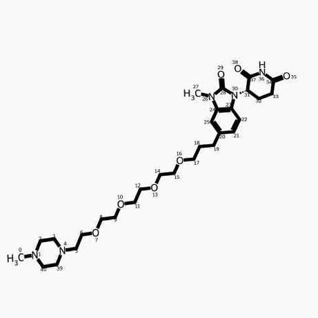 CN1CCN(CCOCCOCCOCCOCCCc2ccc3c(c2)n(C)c(=O)n3[C@H]2CCC(=O)NC2=O)CC1